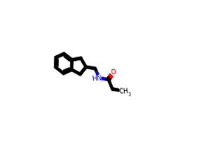 CCC(=O)NCC1Cc2ccccc2C1